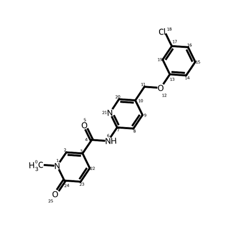 Cn1cc(C(=O)Nc2ccc(COc3cccc(Cl)c3)cn2)ccc1=O